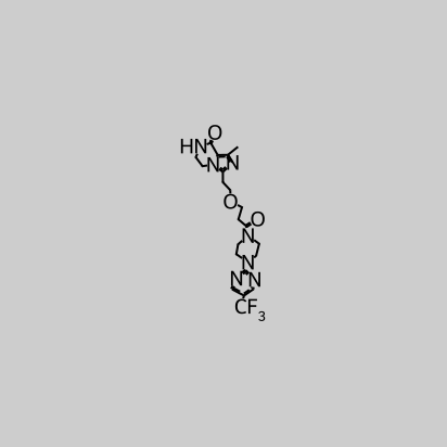 Cc1nc(CCOCCC(=O)N2CCN(c3ncc(C(F)(F)F)cn3)CC2)n2c1C(=O)NCC2